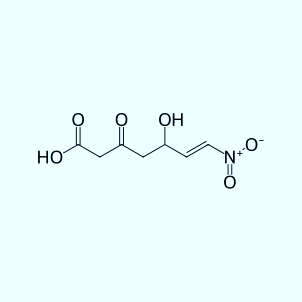 O=C(O)CC(=O)CC(O)C=C[N+](=O)[O-]